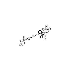 Cn1c(=O)n(C2CCC(=O)NC2=O)c2cccc(CCCOCCOCCNC(=O)OC(C)(C)C)c21